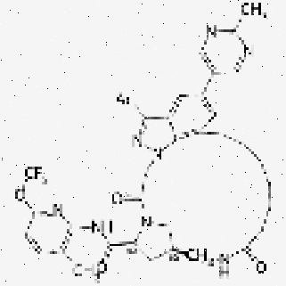 CC(=O)c1nn2c3c(cc(-c4cnc(C)nc4)cc13)CCCCCCC(=O)NC[C@]1(C)C[C@@H](C(=O)Nc3nc(OC(F)(F)F)ccc3C)N(C1)C(=O)C2